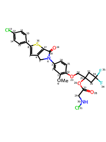 COc1cc(N2Cc3cc(-c4ccc(Cl)cc4)sc3C2=O)ccc1OCC1(OC(=O)CNCl)CC(F)(F)C1